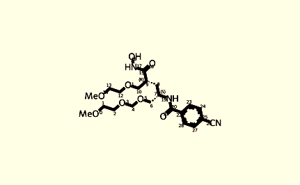 COCCOCOC[C@H](C[C@H](COCCOC)C(=O)NO)NC(=O)c1ccc(C#N)cc1